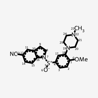 COc1ccc([S+]([O-])n2ccc3cc(C#N)ccc32)cc1N1CCN(C)CC1